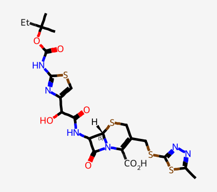 CCC(C)(C)OC(=O)Nc1nc(C(O)C(=O)NC2C(=O)N3C(C(=O)O)=C(CSc4nnc(C)s4)CS[C@@H]23)cs1